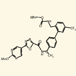 COc1ncc(-c2nnc(C(=O)N[C@H](C)c3ccc(-c4cc(C(F)(F)F)ccc4CNC(=O)OC(C)(C)C)cc3)o2)cn1